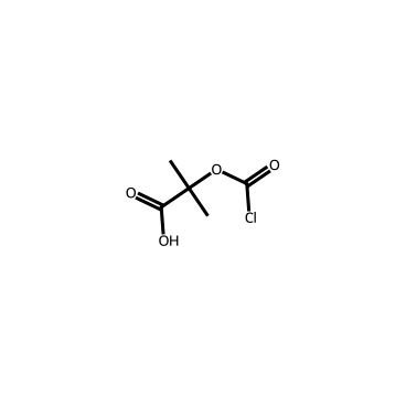 CC(C)(OC(=O)Cl)C(=O)O